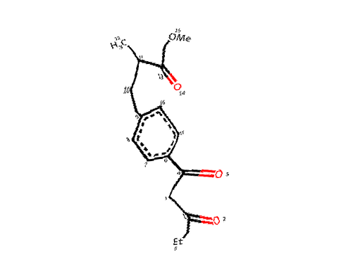 CCC(=O)CC(=O)c1ccc(CC(C)C(=O)OC)cc1